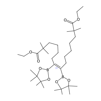 CCOC(=O)C(C)(C)CCCCC/C(B1OC(C)(C)C(C)(C)O1)=C(\CCCCC(C)(C)C(=O)OCC)B1OC(C)(C)C(C)(C)O1